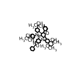 CC(C)(C)c1ccc(N2B3c4cc5nc(-c6ccccc6)oc5cc4-n4c5cc6c(cc5c5c7oc8ccccc8c7c(c3c54)-c3cc(C(C)(C)C)ccc32)C(C)(C)CCC6(C)C)cc1